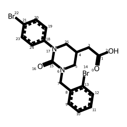 O=C(O)CC1CN(Cc2ccccc2Br)C(=O)N(c2ccc(Br)cc2)C1